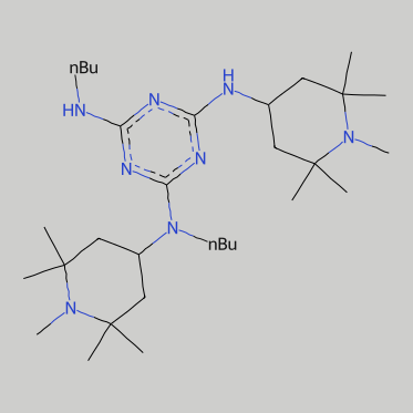 CCCCNc1nc(NC2CC(C)(C)N(C)C(C)(C)C2)nc(N(CCCC)C2CC(C)(C)N(C)C(C)(C)C2)n1